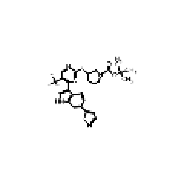 CC(C)(C)OC(=O)N1CCCC(Nc2ncc(C(F)(F)F)c(-c3c[nH]c4cc(-c5ccn[nH]5)ccc34)n2)C1